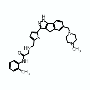 Cc1ccccc1NC(=O)CNCc1ccc(-c2n[nH]c3c2Cc2cc(CN4CCN(C)CC4)ccc2-3)s1